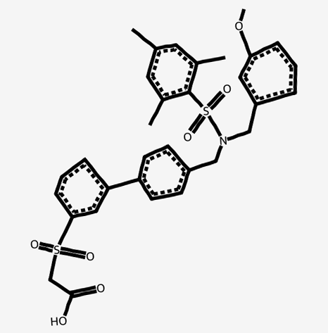 COc1cccc(CN(Cc2ccc(-c3cccc(S(=O)(=O)CC(=O)O)c3)cc2)S(=O)(=O)c2c(C)cc(C)cc2C)c1